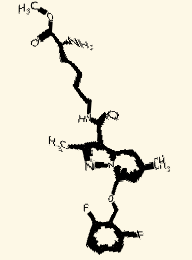 COC(=O)[C@@H](N)CCCCNC(=O)c1c(C)nn2c(OCc3c(F)cccc3F)cc(C)cc12